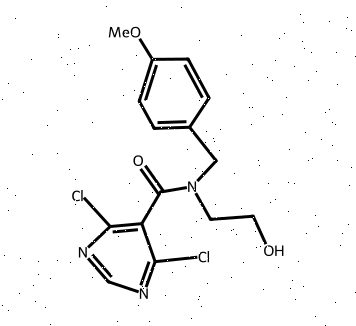 COc1ccc(CN(CCO)C(=O)c2c(Cl)ncnc2Cl)cc1